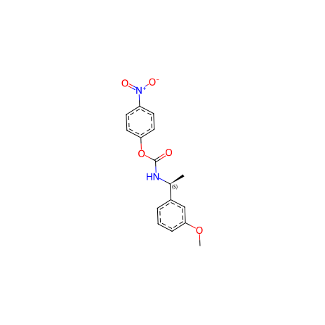 COc1cccc([C@H](C)NC(=O)Oc2ccc([N+](=O)[O-])cc2)c1